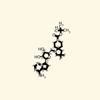 CC(C)(C)OC(=O)N1CCC2(CC1)CC(F)(F)CN2C[C@H]1O[C@@H](c2ccc3c(N)ncnn23)[C@H](O)[C@@H]1O